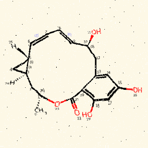 C[C@@H]1C[C@H]2C[C@@H]2/C=C\C=C\[C@@H](O)Cc2cc(O)cc(O)c2C(=O)O1